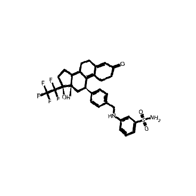 C[C@]12C[C@H](c3ccc(CNc4cccc(S(N)(=O)=O)c4)cc3)C3=C4CCC(=O)C=C4CCC3C1CC[C@@]2(O)C(F)(F)C(F)(F)F